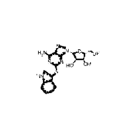 Nc1nc(Sc2c[nH]c3ccccc23)nc2c1ncn2[C@@H]1O[C@H](CO)[C@@H](O)[C@H]1O